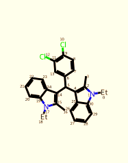 CCn1c(C)c(C(c2ccc(Cl)c(Cl)c2)c2c(C)n(CC)c3ccccc23)c2ccccc21